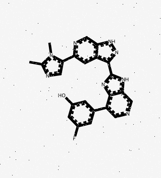 Cc1ncc(-c2cc3c(-c4nc5c(-c6cc(O)cc(F)c6)cncc5[nH]4)n[nH]c3cn2)n1C